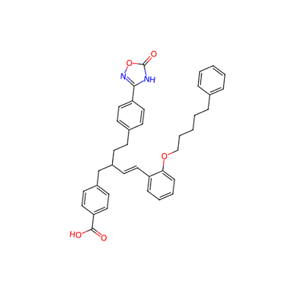 O=C(O)c1ccc(CC(C=Cc2ccccc2OCCCCCc2ccccc2)CCc2ccc(-c3noc(=O)[nH]3)cc2)cc1